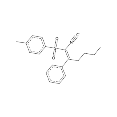 [C-]#[N+]C(=C(CCCC)c1ccccc1)S(=O)(=O)c1ccc(C)cc1